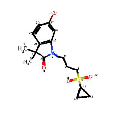 CC1(C)C(=O)N(CCCS(=O)(=O)C2CC2)c2cc(Br)ccc21